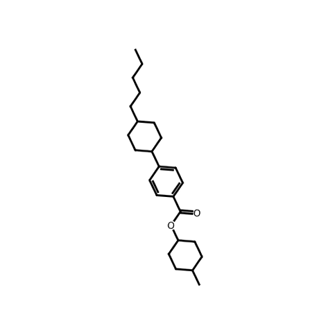 CCCCCC1CCC(c2ccc(C(=O)OC3CCC(C)CC3)cc2)CC1